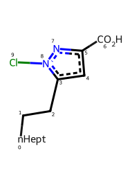 CCCCCCCCCc1cc(C(=O)O)nn1Cl